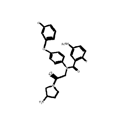 CC(=O)Nc1ccc(F)c(C(=O)N(CC(=O)N2CCC(N)C2)c2ccc(Oc3cccc(Cl)c3)cc2)c1